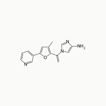 C=C(c1oc(-c2cccnc2)cc1C)n1cnc(N)c1